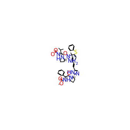 C/C=C(/Sc1ccccc1)C(C)(C#CC#Cc1cnc([C@@H]2CCCN2C(=O)[C@H](NC(=O)OC)c2ccccc2)[nH]1)/N=C(\N)[C@@H]1CCCN1C(=O)[C@@H](NC(=O)OC)C(C)C